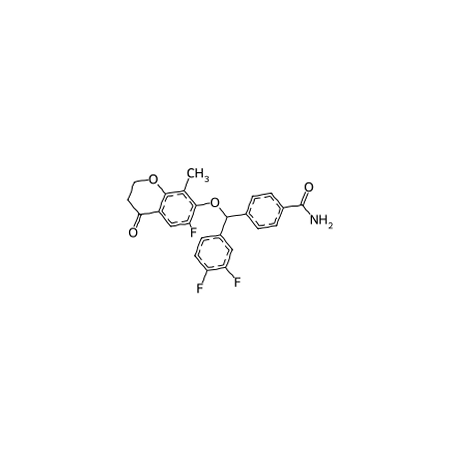 Cc1c(OC(c2ccc(C(N)=O)cc2)c2ccc(F)c(F)c2)c(F)cc2c1OCCC2=O